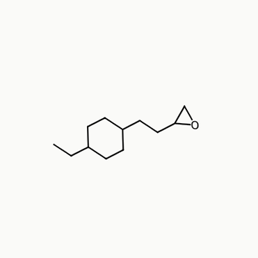 CCC1CCC(CCC2CO2)CC1